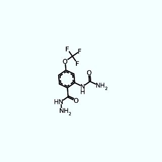 NNC(=O)c1ccc(OC(F)(F)F)cc1NC(N)=O